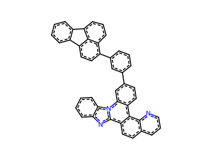 c1cc(-c2ccc3c4c(ccc5cccnc54)c4nc5ccccc5n4c3c2)cc(-c2ccc3c4c(cccc24)-c2ccccc2-3)c1